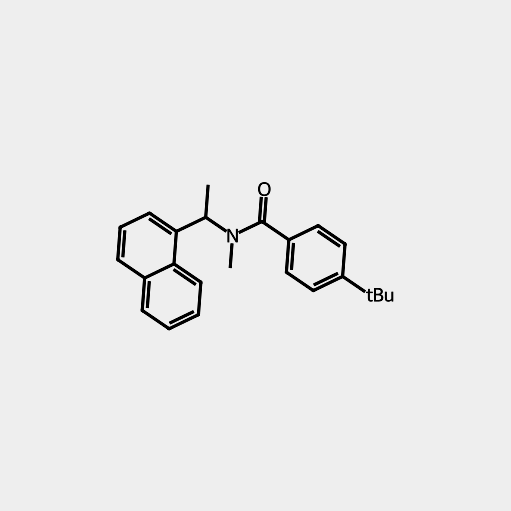 CC(c1cccc2ccccc12)N(C)C(=O)c1ccc(C(C)(C)C)cc1